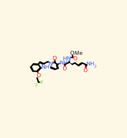 COC(=O)N[C@@H](CC/C=C/C(N)=O)C(=O)Nc1cccn(Cc2cc3cccc(OCC(F)F)c3[nH]2)c1=O